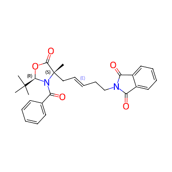 CC(C)(C)[C@H]1OC(=O)[C@](C)(C/C=C/CCN2C(=O)c3ccccc3C2=O)N1C(=O)c1ccccc1